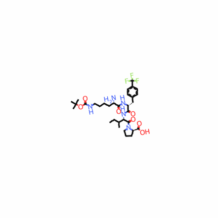 CCC(C)[C@H](NC(=O)[C@@H](Cc1ccc(C(F)(F)F)cc1)NC(=O)[C@@H](N)CCCCNC(=O)OC(C)(C)C)C(=O)N1CCC[C@@H]1C(=O)O